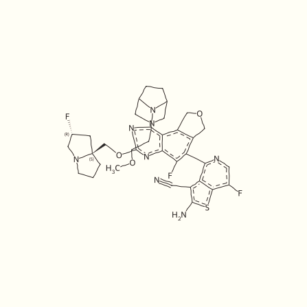 COCCN1CC2CCC(C1)N2c1nc(OC[C@@]23CCCN2C[C@H](F)C3)nc2c(F)c(-c3ncc(F)c4sc(N)c(C#N)c34)c3c(c12)COC3